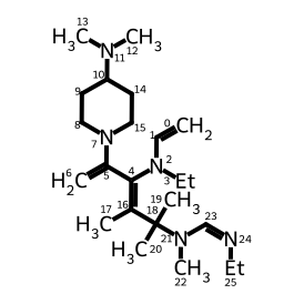 C=CN(CC)/C(C(=C)N1CCC(N(C)C)CC1)=C(/C)C(C)(C)N(C)/C=N\CC